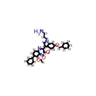 CC(=O)On1c(=O)c(-c2cn(CCCN)c3cc(OCc4ccccc4)ccc23)nc2ccc(-c3ccccc3)cc21